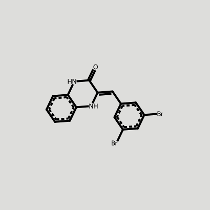 O=C1Nc2ccccc2NC1=Cc1cc(Br)cc(Br)c1